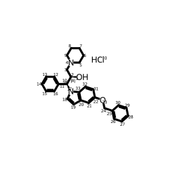 Cl.O[C@H](CN1CCCCC1)[C@H](c1ccccc1)n1ccc2cc(OCc3ccccc3)ccc21